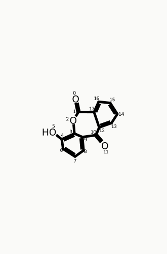 O=c1oc2c(O)cccc2c(=O)c2ccccc12